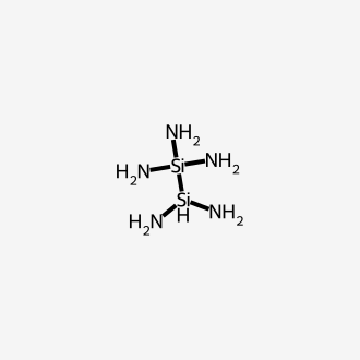 N[SiH](N)[Si](N)(N)N